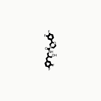 O=C(NCC(CO)Cc1ccc(F)c(F)c1)N1CCOC(c2ccc(F)c(F)c2)C1